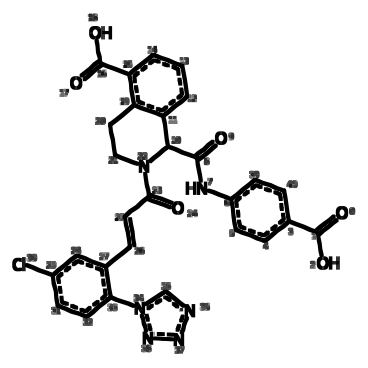 O=C(O)c1ccc(NC(=O)C2c3cccc(C(=O)O)c3CCN2C(=O)C=Cc2cc(Cl)ccc2-n2cnnn2)cc1